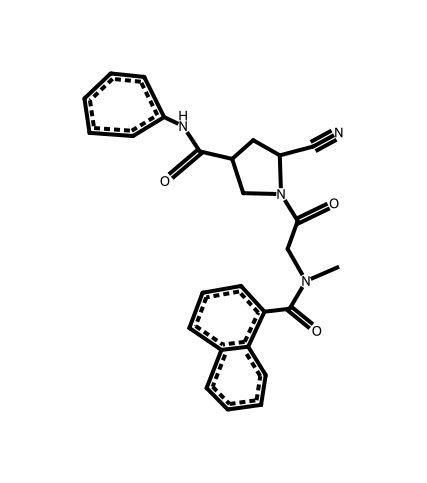 CN(CC(=O)N1CC(C(=O)Nc2ccccc2)CC1C#N)C(=O)c1cccc2ccccc12